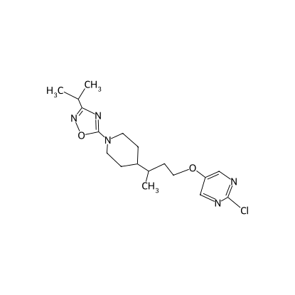 CC(C)c1noc(N2CCC(C(C)CCOc3cnc(Cl)nc3)CC2)n1